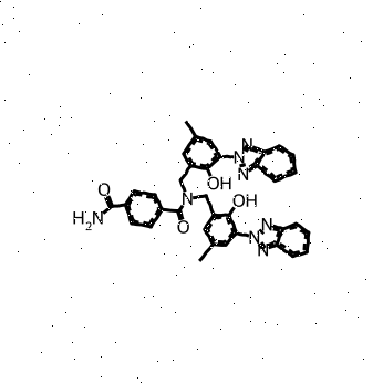 Cc1cc(CN(Cc2cc(C)cc(-n3nc4ccccc4n3)c2O)C(=O)c2ccc(C(N)=O)cc2)c(O)c(-n2nc3ccccc3n2)c1